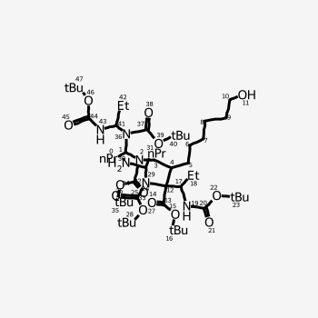 CCCC(N(CC(CCCCCCO)C(C(=O)OC(C)(C)C)(C(CC)NC(=O)OC(C)(C)C)N(C(=O)OC(C)(C)C)C(N)CCC)C(=O)OC(C)(C)C)N(C(=O)OC(C)(C)C)C(CC)NC(=O)OC(C)(C)C